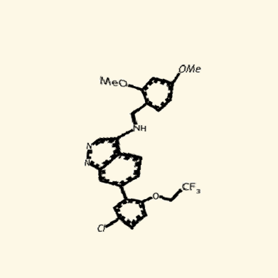 COc1ccc(CNc2cnnc3cc(-c4cc(Cl)ccc4OCC(F)(F)F)ccc23)c(OC)c1